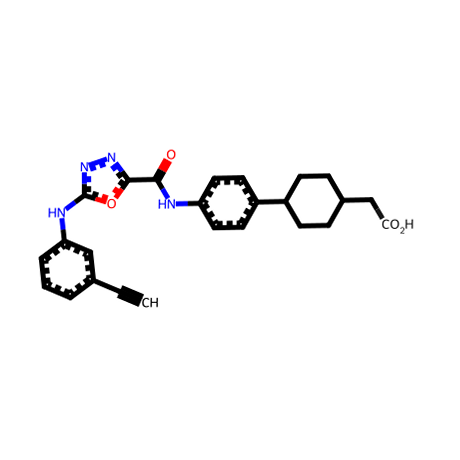 C#Cc1cccc(Nc2nnc(C(=O)Nc3ccc(C4CCC(CC(=O)O)CC4)cc3)o2)c1